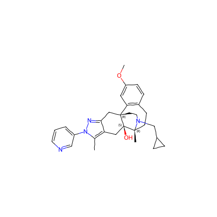 COc1ccc2c(c1)[C@]13CCN(CC4CC4)[C@](C)(CC2)[C@]1(O)Cc1c(nn(-c2cccnc2)c1C)C3